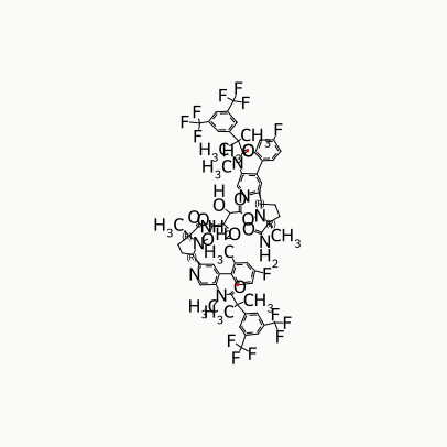 Cc1cc(F)ccc1-c1cc([C@H]2CC[C@](C)(C(N)=O)N2OC(=O)C(O)C(O)C(=O)ON2[C@@H](c3cc(-c4ccc(F)cc4C)c(N(C)C(=O)C(C)(C)c4cc(C(F)(F)F)cc(C(F)(F)F)c4)cn3)CC[C@]2(C)C(N)=O)ncc1N(C)C(=O)C(C)(C)c1cc(C(F)(F)F)cc(C(F)(F)F)c1